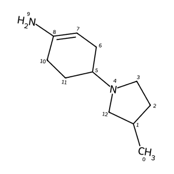 CC1CCN(C2CC=C(N)CC2)C1